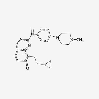 CN1CCN(c2ccc(Nc3ncc4ccc(=O)n(CCC5CC5)c4n3)cc2)CC1